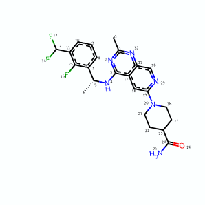 Cc1nc(N[C@H](C)c2cccc(C(F)F)c2F)c2cc(N3CCC(C(N)=O)CC3)ncc2n1